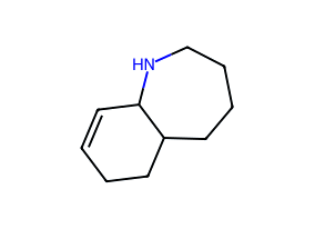 C1=CC2NCCCCC2CC1